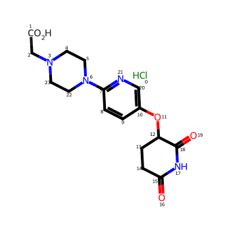 Cl.O=C(O)CN1CCN(c2ccc(OC3CCC(=O)NC3=O)cn2)CC1